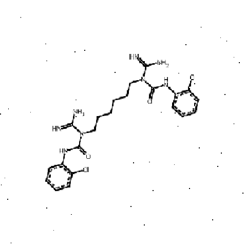 N=C(N)N(CCCCCCN(C(=N)N)C(=O)Nc1ccccc1Cl)C(=O)Nc1ccccc1Cl